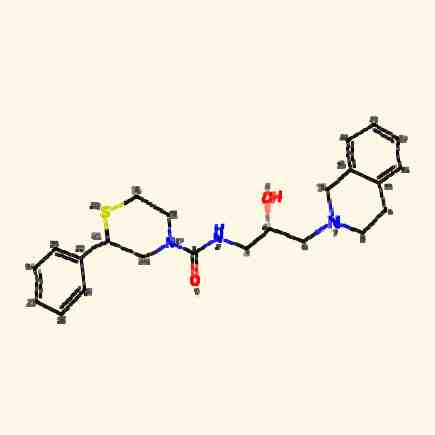 O=C(NC[C@H](O)CN1CCc2ccccc2C1)N1CCSC(c2ccccc2)C1